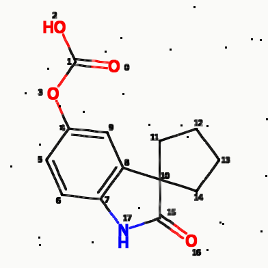 O=C(O)Oc1ccc2c(c1)C1(CCCC1)C(=O)N2